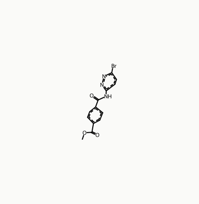 COC(=O)c1ccc(C(=O)Nc2ccc(Br)nn2)cc1